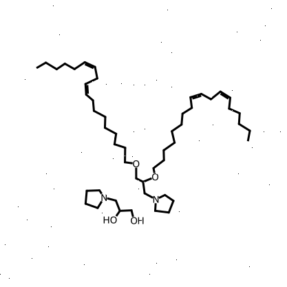 CCCCC/C=C\C/C=C\CCCCCCCCOCC(CN1CCCC1)OCCCCCCCC/C=C\C/C=C\CCCCC.OCC(O)CN1CCCC1